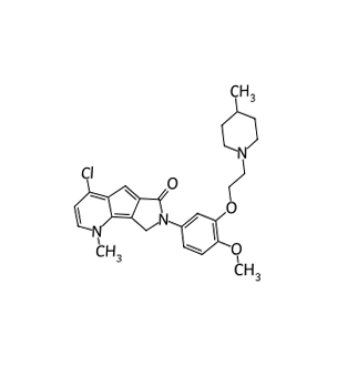 COc1ccc(N2Cc3c(cc4c(Cl)ccn(C)c3-4)C2=O)cc1OCCN1CCC(C)CC1